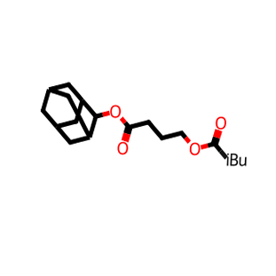 CCC(C)C(=O)OCCCC(=O)OC1C2CC3CC(C2)CC1C3